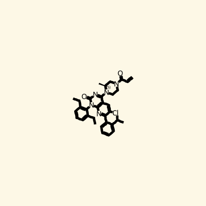 C=CC(=O)N1CCN(c2nc(=O)n(-c3c(CC)cccc3CC)c3nc(-c4ccccc4C(C)C)c(Cl)cc23)[C@@H](C)C1